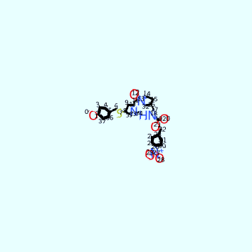 COc1ccc(CS[C@H]2C[C@@H](C(=O)N3CC[C@@H](CNC(=O)OCc4ccc([N+](=O)[O-])cc4)C3)N(C)C2)cc1